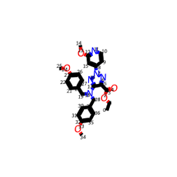 CCOC(=O)c1nn(-c2ccnc(OC)c2)nc1N(Cc1ccc(OC)cc1)Cc1ccc(OC)cc1